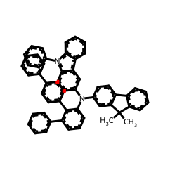 CC1(C)c2ccccc2-c2ccc(N(c3ccc4c(c3)c3ccccc3n4-c3ccccc3)c3cccc(-c4ccccc4)c3-c3ccc(-c4ccccc4)cc3)cc21